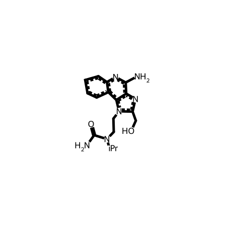 CC(C)N(CCn1c(CO)nc2c(N)nc3ccccc3c21)C(N)=O